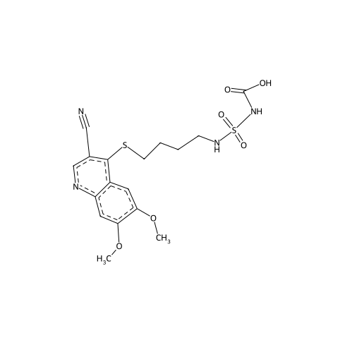 COc1cc2ncc(C#N)c(SCCCCNS(=O)(=O)NC(=O)O)c2cc1OC